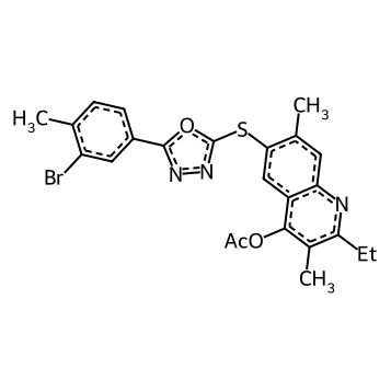 CCc1nc2cc(C)c(Sc3nnc(-c4ccc(C)c(Br)c4)o3)cc2c(OC(C)=O)c1C